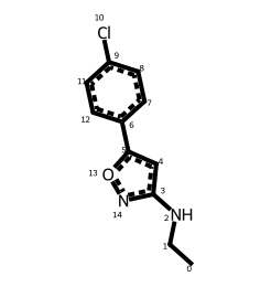 CCNc1cc(-c2ccc(Cl)cc2)on1